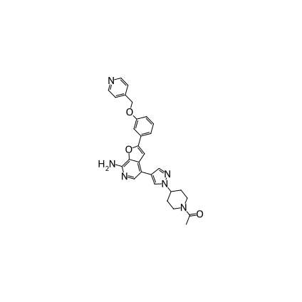 CC(=O)N1CCC(n2cc(-c3cnc(N)c4oc(-c5cccc(OCc6ccncc6)c5)cc34)cn2)CC1